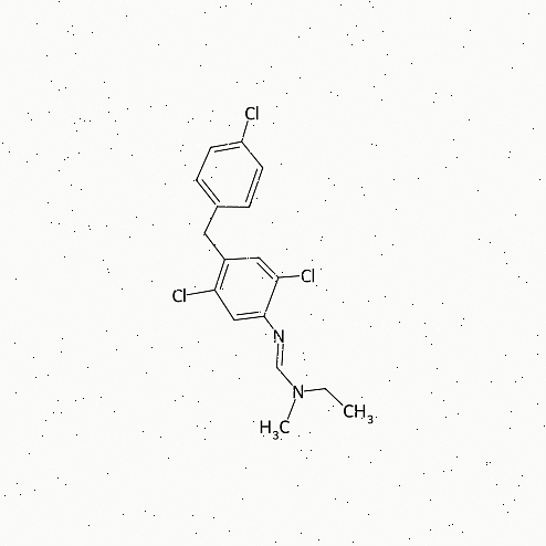 CCN(C)C=Nc1cc(Cl)c(Cc2ccc(Cl)cc2)cc1Cl